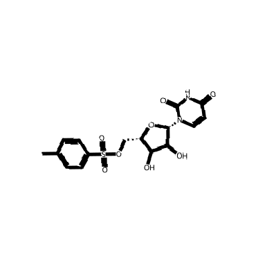 Cc1ccc(S(=O)(=O)OC[C@@H]2O[C@H](n3ccc(=O)[nH]c3=O)C(O)C2O)cc1